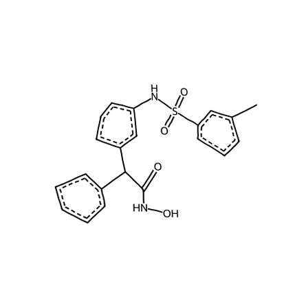 Cc1cccc(S(=O)(=O)Nc2cccc(C(C(=O)NO)c3ccccc3)c2)c1